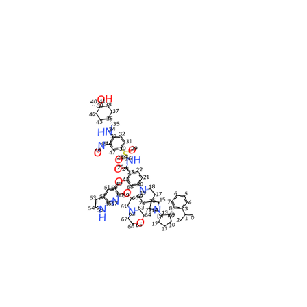 CC(C)c1ccccc1[C@@H]1CCC[C@@H]1N1CC2(CCN(c3ccc(C(=O)NS(=O)(=O)c4ccc(NC[C@H]5CC[C@](C)(O)CC5)c(N=O)c4)c(Oc4cc5cc[nH]c5nc4OCCN4CCOCC4)c3)CC2)C1